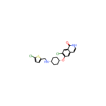 O=c1[nH]ccc2cc(O[C@H]3CC[C@@H](NCc4ccc(Cl)s4)CC3)c(Cl)cc12